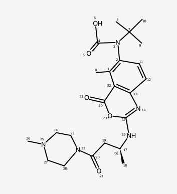 Cc1c(N(C(=O)O)C(C)(C)C)ccc2nc(N[C@@H](C)CC(=O)N3CCN(C)CC3)oc(=O)c12